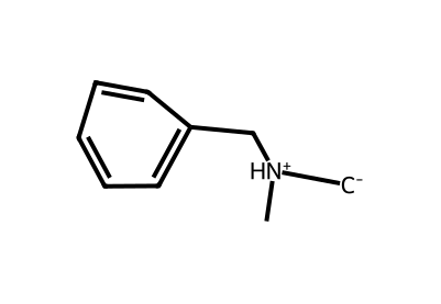 [CH2-][NH+](C)Cc1ccccc1